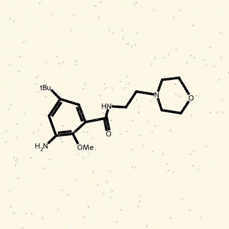 COc1c(N)cc(C(C)(C)C)cc1C(=O)NCCN1CCOCC1